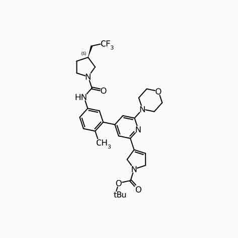 Cc1ccc(NC(=O)N2CC[C@@H](CC(F)(F)F)C2)cc1-c1cc(C2=CCN(C(=O)OC(C)(C)C)C2)nc(N2CCOCC2)c1